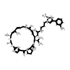 CC1=C\[C@@H](O)C[C@@H](F)Cc2nc(co2)C(=O)N2CCC[C@@H]2C(=O)O[C@H](C(C)C)[C@H](CC(O)NCCCN2C=C(c3cccc(N)c3)NN2C)/C=C/C(=O)NC\C=C\1